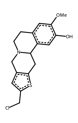 COc1cc2c(cc1O)C1Cc3sc(CCl)cc3CN1CC2